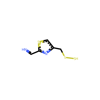 N=Cc1nc(CSS)cs1